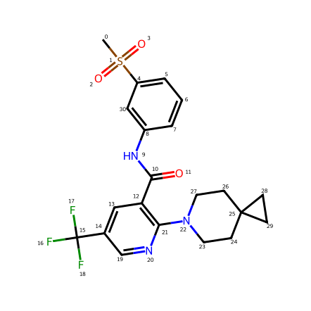 CS(=O)(=O)c1cccc(NC(=O)c2cc(C(F)(F)F)cnc2N2CCC3(CC2)CC3)c1